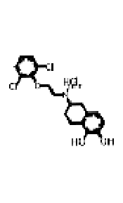 CCCN(CCOc1c(Cl)cccc1Cl)C1CCc2c(ccc(O)c2O)C1.Cl